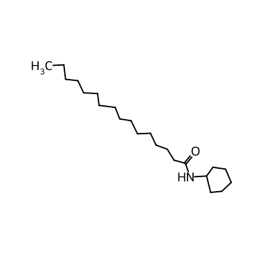 CCCCCCCCCCCCCCCC(=O)NC1CCCCC1